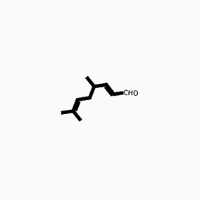 CC(C)=CCC(C)C=CC=O